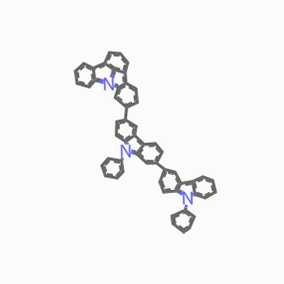 c1ccc(-n2c3ccccc3c3cc(-c4ccc5c6cc(-c7ccc8c9cccc%10c%11ccccc%11n(c8c7)c%109)ccc6n(-c6ccccc6)c5c4)ccc32)cc1